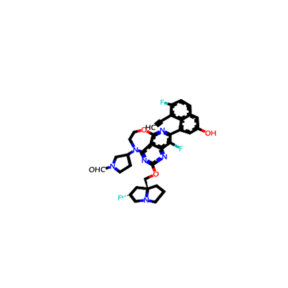 C#Cc1c(F)ccc2cc(O)cc(-c3nc4c5c(nc(OC[C@@]67CCCN6C[C@H](F)C7)nc5c3F)N(C3CCN(C=O)C3)CCO4)c12